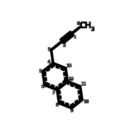 CC#CCc1c[c]c2ccccc2c1